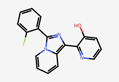 Oc1cccnc1-c1nc(-c2ccccc2F)n2ccccc12